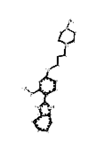 COc1cc(OCCCN2CCN(C)CC2)ccc1-c1nc2ccccc2[nH]1